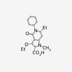 CCOc1c(C(=O)O)n(C)c2cc(CC)n(-c3ccccc3)c(=O)c12